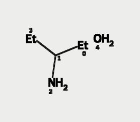 CCC(N)CC.O